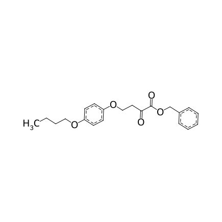 CCCCOc1ccc(OCCC(=O)C(=O)OCc2ccccc2)cc1